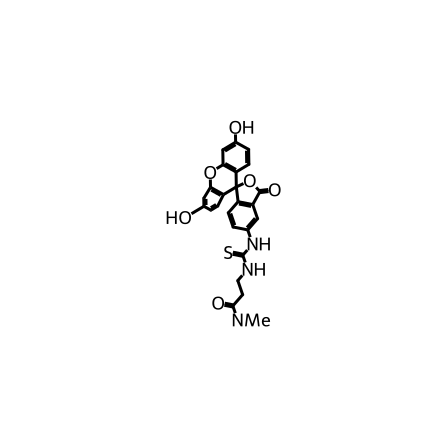 CNC(=O)CCNC(=S)Nc1ccc2c(c1)C(=O)OC21c2ccc(O)cc2Oc2cc(O)ccc21